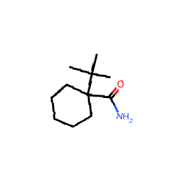 CC(C)(C)C1(C(N)=O)CCCCC1